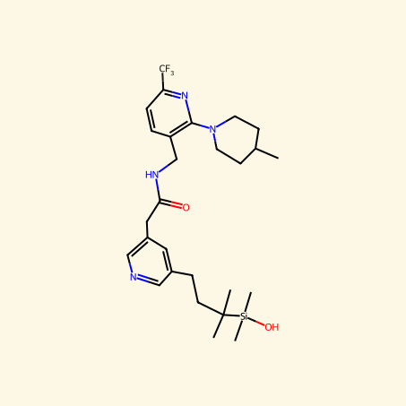 CC1CCN(c2nc(C(F)(F)F)ccc2CNC(=O)Cc2cncc(CCC(C)(C)[Si](C)(C)O)c2)CC1